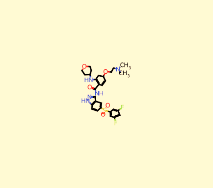 CN(C)CCOC1C=CC(C(=O)Nc2n[nH]c3ccc(S(=O)(=O)c4cc(F)cc(F)c4)cc23)=C(NC2CCOCC2)C1